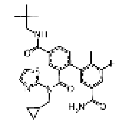 Cc1c(F)cc(C(N)=O)cc1-c1ccc(C(=O)NCC(C)(C)C)cc1C(=O)N(CC1CC1)c1nccs1